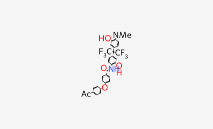 CNc1ccc(C(c2ccc(NC(=O)c3ccc(Oc4ccc(C(C)=O)cc4)cc3)c(O)c2)(C(F)(F)F)C(F)(F)F)cc1O